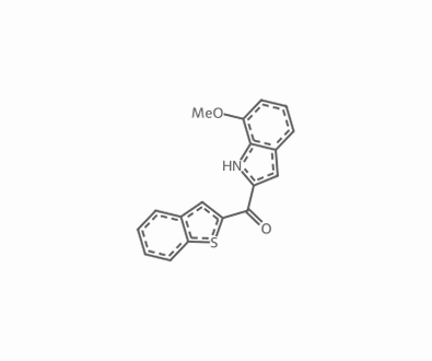 COc1cccc2cc(C(=O)c3cc4ccccc4s3)[nH]c12